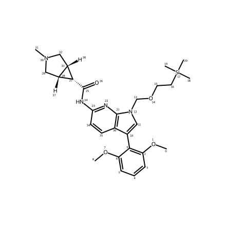 COc1cccc(OC)c1-c1cn(COCC[Si](C)(C)C)c2nc(NC(=O)[C@@H]3[C@@H]4CN(C)C[C@@H]43)ccc12